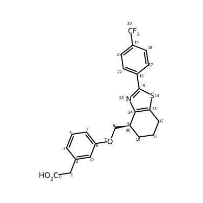 O=C(O)Cc1cccc(OC[C@@H]2CCCc3sc(-c4ccc(C(F)(F)F)cc4)nc32)c1